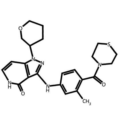 Cc1cc(Nc2nn(C3CCCOC3)c3cc[nH]c(=O)c23)ccc1C(=O)N1CCSCC1